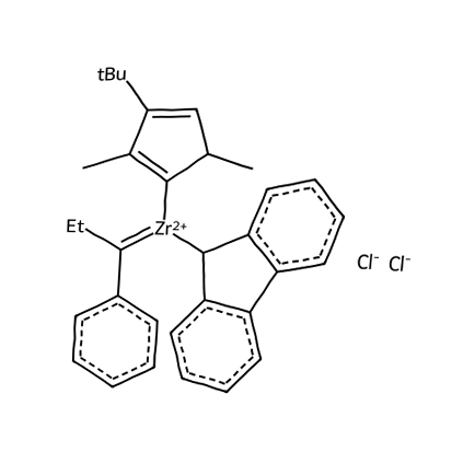 CC/[C](c1ccccc1)=[Zr+2](\[C]1=C(C)C(C(C)(C)C)=CC1C)[CH]1c2ccccc2-c2ccccc21.[Cl-].[Cl-]